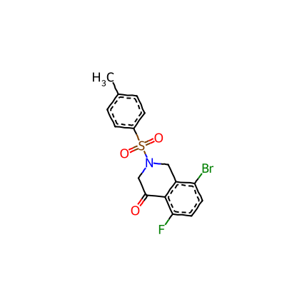 Cc1ccc(S(=O)(=O)N2CC(=O)c3c(F)ccc(Br)c3C2)cc1